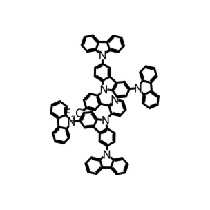 FC(F)(F)c1ccc(-n2c3ccc(-n4c5ccccc5c5ccccc54)cc3c3cc(-n4c5ccccc5c5ccccc54)ccc32)c(-c2ncccc2-n2c3ccc(-n4c5ccccc5c5ccccc54)cc3c3cc(-n4c5ccccc5c5ccccc54)ccc32)c1